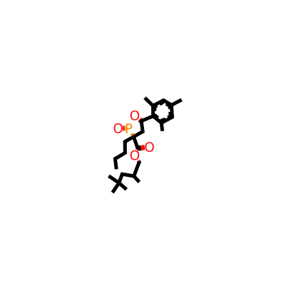 CCCCC(CC(=O)c1c(C)cc(C)cc1C)(P=O)C(=O)OCC(C)CC(C)(C)C